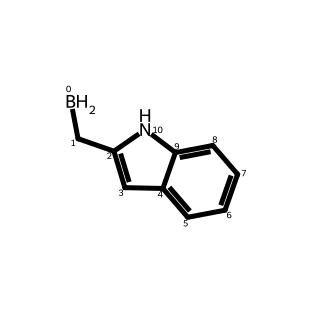 BCc1cc2ccccc2[nH]1